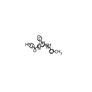 Cc1cccc(/C=N/Nc2cc3nc(C(=O)N4CCNCC4)cn3c(N3CCOCC3)n2)c1